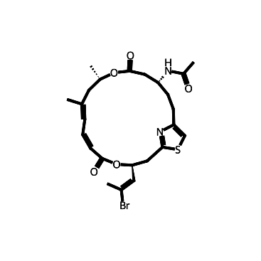 CC(=O)N[C@@H]1CCc2csc(n2)C[C@@H](/C=C(\C)Br)OC(=O)/C=C\C=C(/C)C[C@H](C)OC(=O)C1